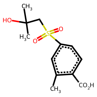 Cc1cc(S(=O)(=O)CC(C)(C)O)ccc1C(=O)O